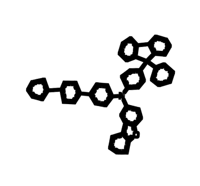 c1ccc(-c2ccc(-c3ccc(N(c4ccc(C5(c6ccccc6)c6ccccc6-c6ccccc65)cc4)c4ccc5oc6ccccc6c5c4)cc3)cc2)cc1